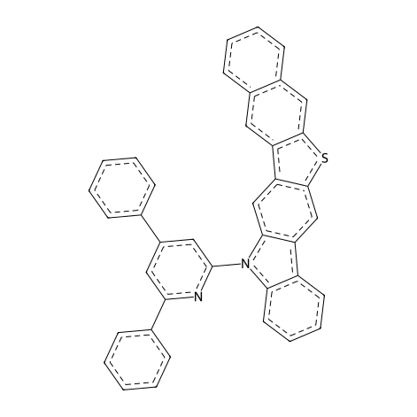 c1ccc(-c2cc(-c3ccccc3)nc(-n3c4ccccc4c4cc5sc6cc7ccccc7cc6c5cc43)c2)cc1